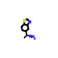 CC(N)c1ccc2scnc2c1